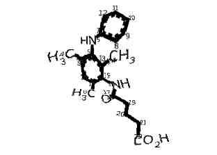 Cc1cc(C)c(Nc2ccccc2)c(C)c1NC(=O)CCCC(=O)O